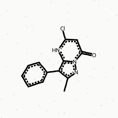 Cc1nn2c(=O)cc(Cl)[nH]c2c1-c1ccccc1